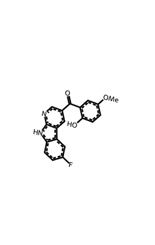 COc1ccc(O)c(C(=O)c2cnc3[nH]c4ccc(F)cc4c3c2)c1